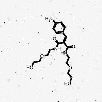 Cc1ccc(C=C(C(=O)NCCOCCO)C(=O)NCCOCCO)cc1